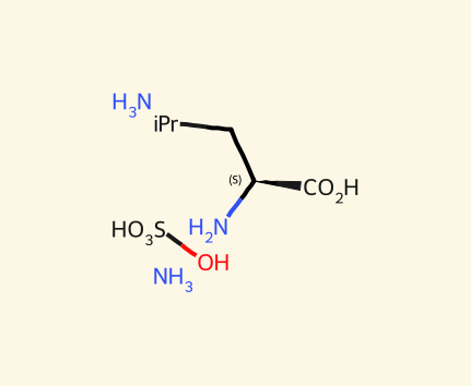 CC(C)C[C@H](N)C(=O)O.N.N.O=S(=O)(O)O